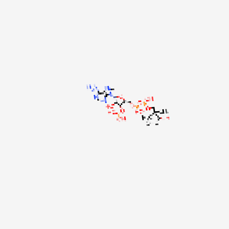 CC(C)(COP(O)OP(O)OCC1OC(n2cnc3c(N)ncnc32)C(O)C1OP(O)O)C(O)C=O